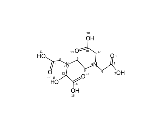 O=C(O)CN(CCN(CC(=O)O)C(O)C(=O)O)CC(=O)O